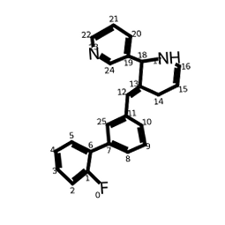 Fc1ccccc1-c1cccc(C=C2CC=CNC2c2cccnc2)c1